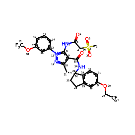 CS(=O)(=O)CC(=O)Nc1c2c(nn1-c1cccc(OC(F)(F)F)c1)C[C@]1(CCc3cc(OCC(F)(F)F)ccc31)NC2=O